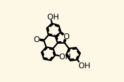 O=C1c2cccc(O)c2-c2c(-c3ccc(O)cc3)oc3cc(O)cc1c23